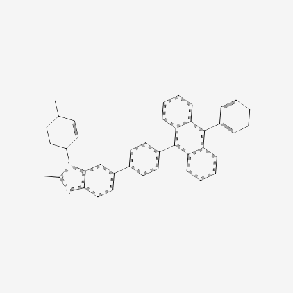 Cc1nc2ccc(-c3ccc(-c4c5ccccc5c(C5=CCCC=C5)c5ccccc45)cc3)cc2n1C1C=CC(C)CC1